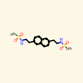 CCCS(=O)(=O)NCCc1ccc2cc(CCNS(=O)(=O)CCC)ccc2c1